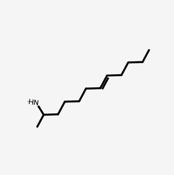 CCCCC=CCCCCC(C)[NH]